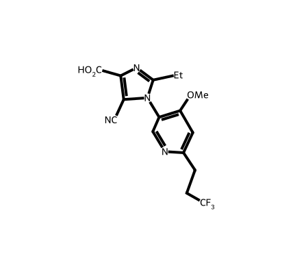 CCc1nc(C(=O)O)c(C#N)n1-c1cnc(CCC(F)(F)F)cc1OC